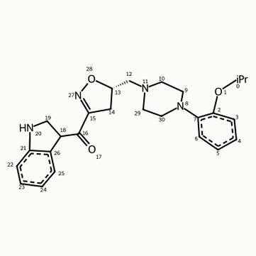 CC(C)Oc1ccccc1N1CCN(C[C@@H]2CC(C(=O)C3CNc4ccccc43)=NO2)CC1